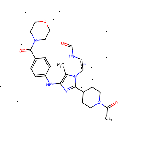 CC(=O)N1CCC(c2nc(Nc3ccc(C(=O)N4CCOCC4)cc3)c(C)n2/C=C\NC=O)CC1